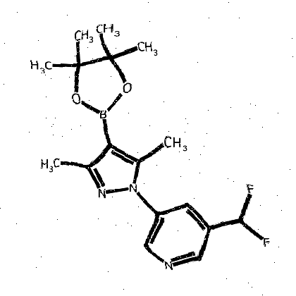 Cc1nn(-c2cncc(C(F)F)c2)c(C)c1B1OC(C)(C)C(C)(C)O1